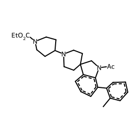 CCOC(=O)N1CCC(N2CCC3(CC2)CN(C(C)=O)c2c(-c4ccccc4C)cccc23)CC1